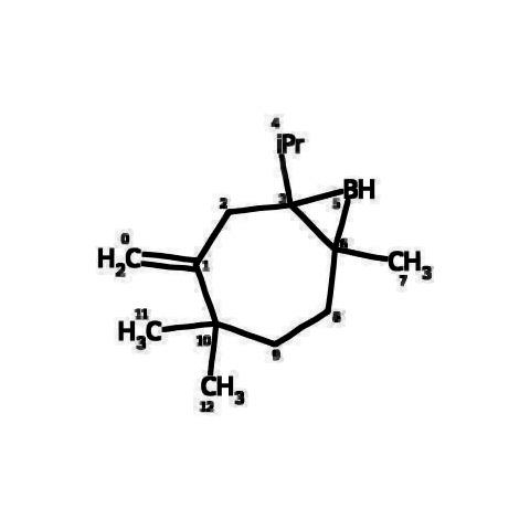 C=C1CC2(C(C)C)BC2(C)CCC1(C)C